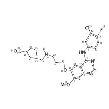 COc1cc2ncnc(Nc3ccc(F)c(Cl)c3)c2cc1OCCCN1CC2CN(C(=O)O)CC2C1